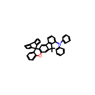 CC1(C)c2cc3c(cc2-c2cccc(N(c4ccccc4)c4ccccc4)c21)C1(c2ccccc2O3)c2ccccc2-c2ccccc21